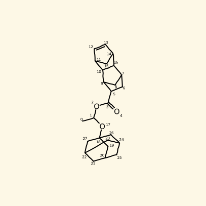 CC(OC(=O)C1CC2CC1C1C3C=CC(C3)C21)OC12CC3CC(CC(C3)C1)C2